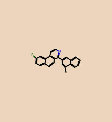 Cc1cc(-c2nccc3c2ccc2ccc(F)cc23)cc2ccccc12